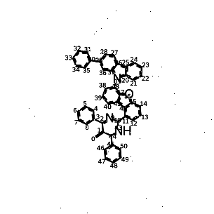 C=C1C(c2ccccc2)=NC(c2cccc3oc4c(-n5c6ccccc6c6ccc(-c7ccccc7)cc65)cccc4c23)NC1c1ccccc1